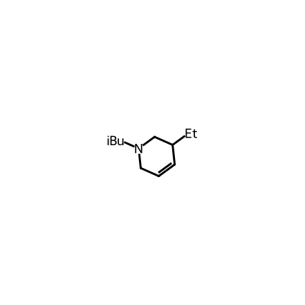 CCC1C=CCN(C(C)CC)C1